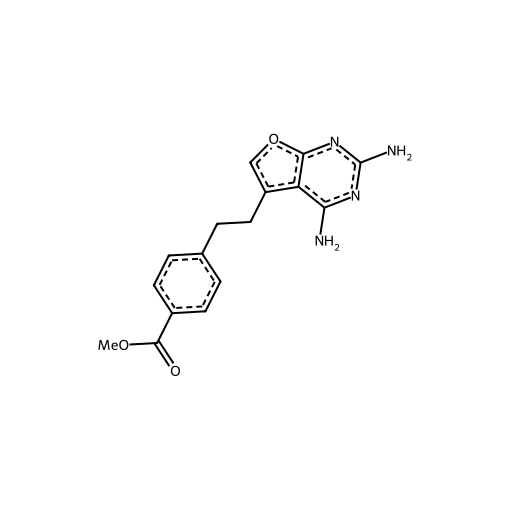 COC(=O)c1ccc(CCc2coc3nc(N)nc(N)c23)cc1